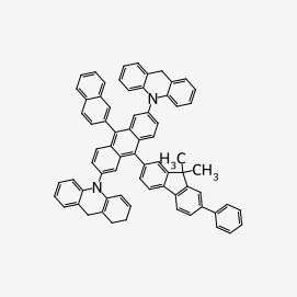 CC1(C)c2cc(-c3ccccc3)ccc2-c2ccc(-c3c4ccc(N5c6ccccc6Cc6ccccc65)cc4c(-c4ccc5ccccc5c4)c4ccc(N5C6=C(CCC=C6)Cc6ccccc65)cc34)cc21